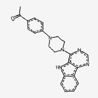 CC(=O)c1ccc(N2CCN(c3ncnc4c3[nH]c3ccccc34)CC2)cc1